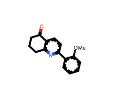 COc1ccccc1-c1ccc2c(n1)CCCC2=O